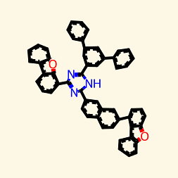 c1ccc(-c2cc(C3=NC(c4cccc5c4oc4ccccc45)=NC(c4ccc5ccc(-c6cccc7oc8ccccc8c67)cc5c4)N3)cc(-c3ccccc3)c2)cc1